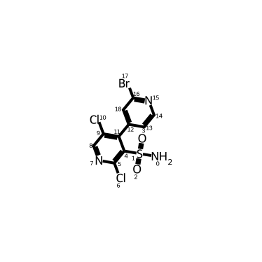 NS(=O)(=O)c1c(Cl)ncc(Cl)c1-c1ccnc(Br)c1